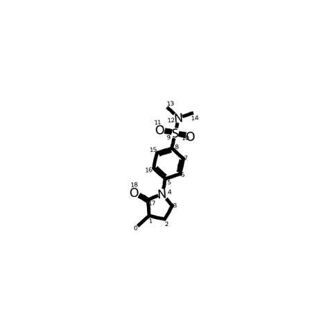 CC1CCN(c2ccc(S(=O)(=O)N(C)C)cc2)C1=O